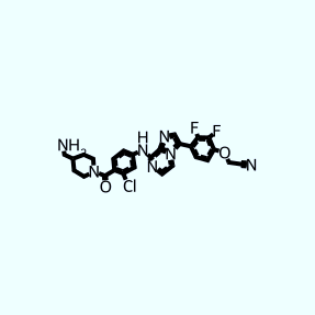 N#CCOc1ccc(-c2cnc3c(Nc4ccc(C(=O)N5CCC(CN)CC5)c(Cl)c4)nccn23)c(F)c1F